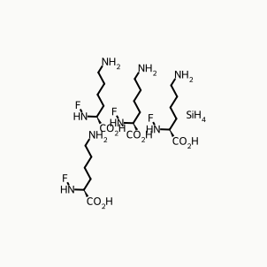 NCCCC[C@H](NF)C(=O)O.NCCCC[C@H](NF)C(=O)O.NCCCC[C@H](NF)C(=O)O.NCCCC[C@H](NF)C(=O)O.[SiH4]